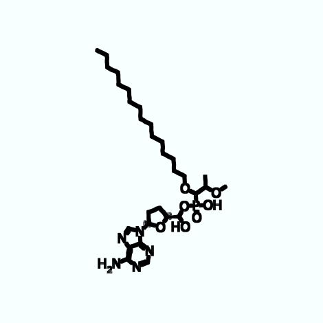 CCCCCCCCCCCCCCCCOC(C(C)OC)P(=O)(O)OC(O)[C@@H]1CC[C@H](n2cnc3c(N)ncnc32)O1